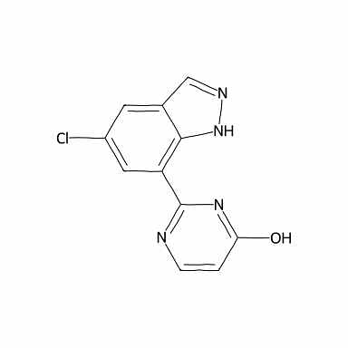 Oc1ccnc(-c2cc(Cl)cc3cn[nH]c23)n1